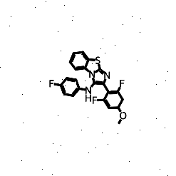 COC1C=C(F)C(c2nc3sc4ccccc4n3c2Nc2ccc(F)cc2)=C(F)C1